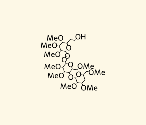 COCC1C[C@@H](OC)C(OC)[C@H](O[C@@H]2C(COC)O[C@@H](OO[C@@H]3OC(CCO)[C@@H](OC)[C@@H](OC)C3OC)C(OC)[C@@H]2OC)O1